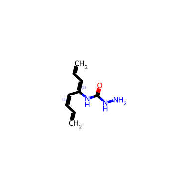 C=C/C=C\C(=C/C=C)NC(=O)NN